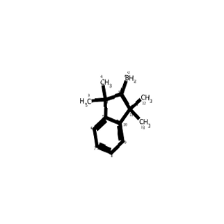 BC1C(C)(C)c2ccccc2C1(C)C